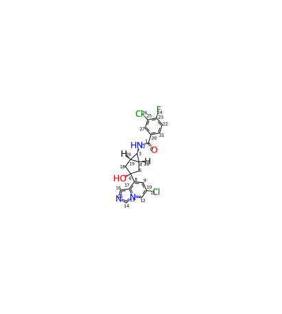 O=C(N[C@H]1[C@@H]2C[C@](O)(c3cc(Cl)cn4cncc34)C[C@@H]21)c1ccc(F)c(Cl)c1